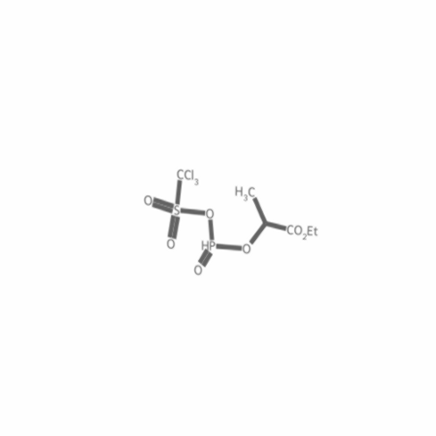 CCOC(=O)C(C)O[PH](=O)OS(=O)(=O)C(Cl)(Cl)Cl